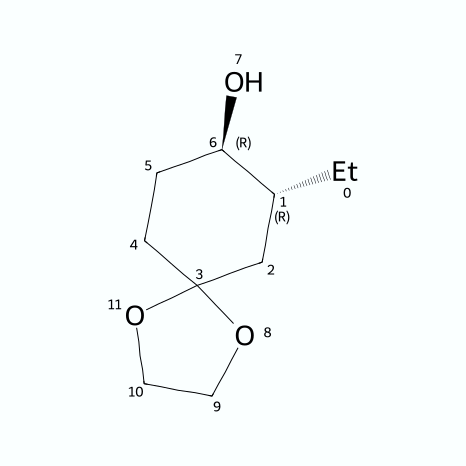 CC[C@@H]1CC2(CC[C@H]1O)OCCO2